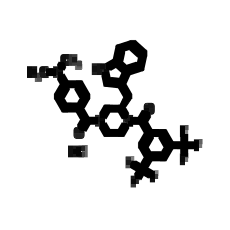 CN(C)c1ccc(C(=O)N2CCN(C(=O)c3cc(C(F)(F)F)cc(C(F)(F)F)c3)[C@H](Cc3c[nH]c4ccccc34)C2)cc1.Cl